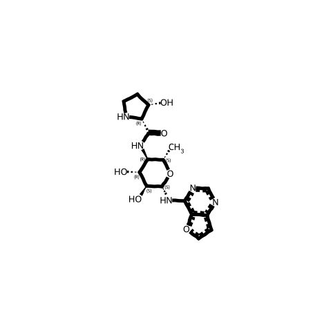 C[C@@H]1O[C@H](Nc2ncnc3ccoc23)[C@@H](O)[C@H](O)[C@H]1NC(=O)[C@@H]1NCC[C@@H]1O